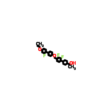 C=CCOc1ccc(-c2ccc(OCc3ccc(C4CCC(C(C)O)CC4)c(F)c3F)cc2)c(F)c1